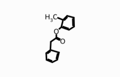 Cc1ccccc1OC(=O)Cc1ccccc1